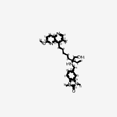 CCC(CO)(CCCCCc1c(F)cnc2ccc(OC)nc12)NCc1ccc2c(c1)n(C)c(=O)n2C